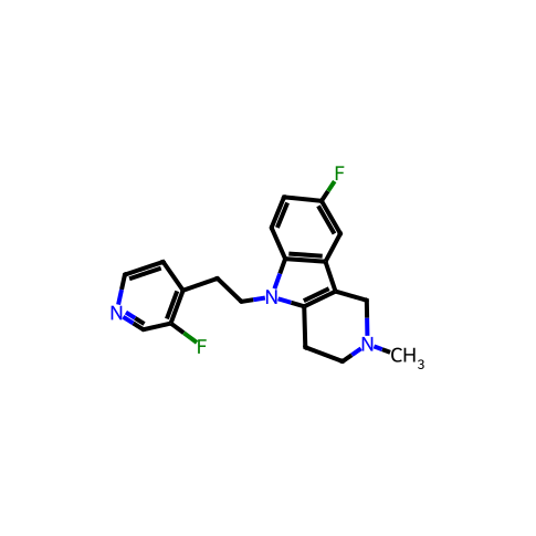 CN1CCc2c(c3cc(F)ccc3n2CCc2ccncc2F)C1